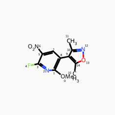 COc1nc(F)c([N+](=O)[O-])cc1-c1c(C)noc1C